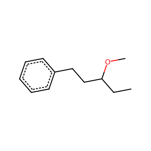 CCC(CCc1ccccc1)OC